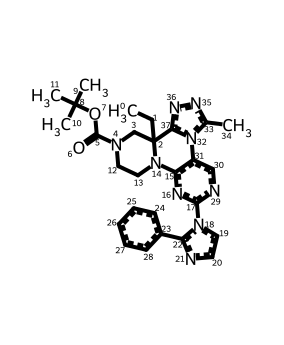 CCC12CN(C(=O)OC(C)(C)C)CCN1c1nc(-n3ccnc3-c3ccccc3)ncc1-n1c(C)nnc12